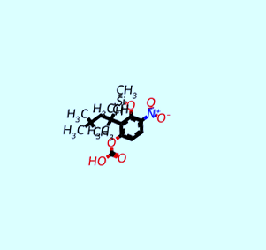 C[SiH](C)Oc1c([N+](=O)[O-])ccc(OC(=O)O)c1C(C)(C)CC(C)(C)C